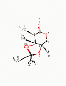 C[C@H]1C(=O)OC[C@@H]2OC(C)(C)O[C@@H]21